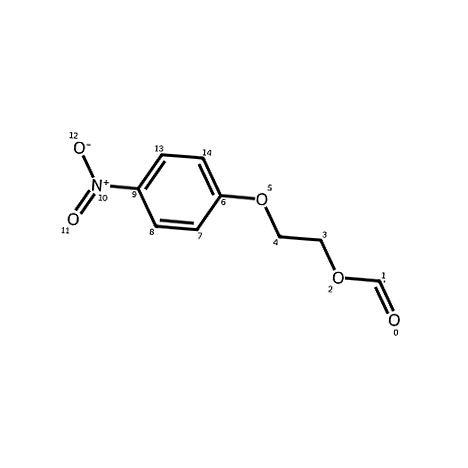 O=[C]OCCOc1ccc([N+](=O)[O-])cc1